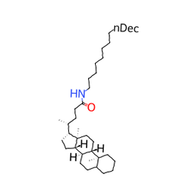 CCCCCCCCCCCCCCCCCCNC(=O)CC[C@@H](C)[C@H]1CC[C@H]2[C@@H]3CCC4CCCC[C@]4(C)[C@H]3CC[C@]12C